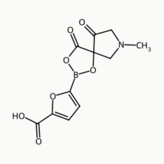 CN1CC(=O)C2(C1)OB(c1ccc(C(=O)O)o1)OC2=O